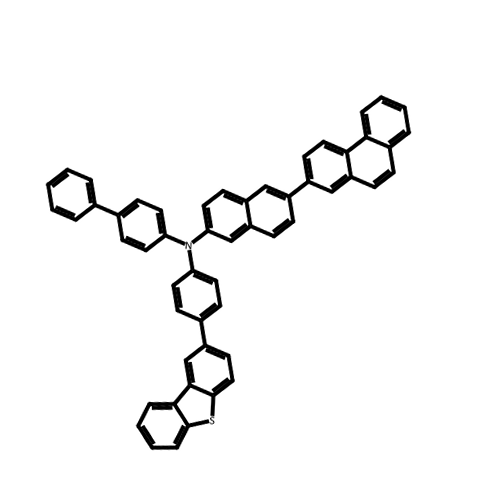 c1ccc(-c2ccc(N(c3ccc(-c4ccc5sc6ccccc6c5c4)cc3)c3ccc4cc(-c5ccc6c(ccc7ccccc76)c5)ccc4c3)cc2)cc1